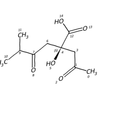 CC(=O)C[C@](O)(CC(=O)C(C)C)C(=O)O